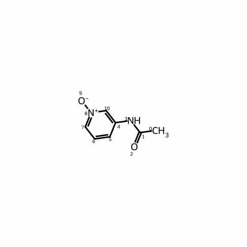 CC(=O)Nc1ccc[n+]([O-])c1